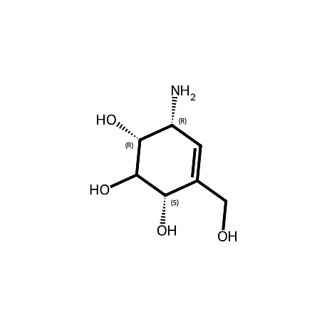 N[C@@H]1C=C(CO)[C@H](O)C(O)[C@@H]1O